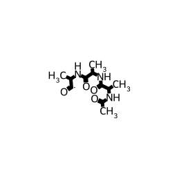 CC(=O)NC(C)C(=O)NC(C)C(=O)NC(C)[C]=O